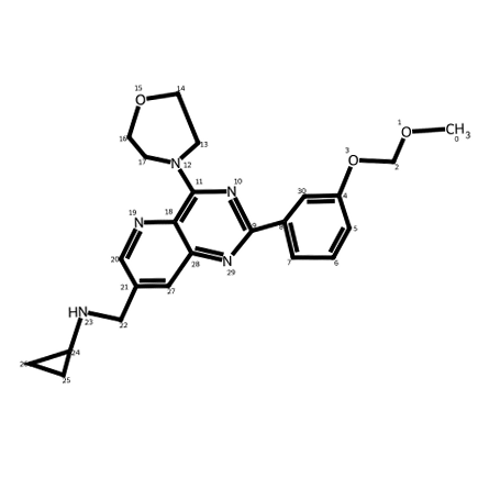 COCOc1cccc(-c2nc(N3CCOCC3)c3ncc(CNC4CC4)cc3n2)c1